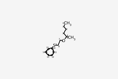 CCCCC(C)OCCSc1ccccc1